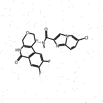 CN(C(=O)c1cn2cc(Cl)ccc2n1)[C@H]1COCc2[nH]c(=O)c3cc(F)c(F)cc3c21